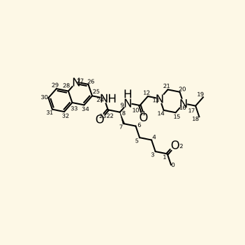 CC(=O)CCCCC[C@H](NC(=O)CN1CCN(C(C)C)CC1)C(=O)Nc1cnc2ccccc2c1